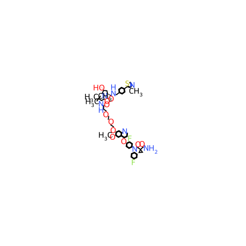 COc1cc2c(Oc3ccc(N(C(=O)C4(C(N)=O)CC4)c4ccc(F)cc4)cc3F)ccnc2cc1OCCOCCOCCC(=O)N[C@H](C(=O)N1C[C@H](O)C[C@H]1C(=O)NCc1ccc(-c2scnc2C)cc1)C(C)(C)C